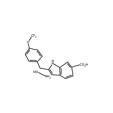 NO.O=C(O)c1ccc2cc(Cc3ccc(OC(F)(F)F)cc3)[nH]c2c1